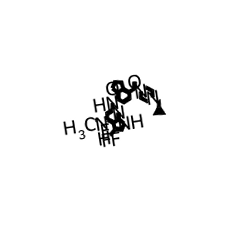 CCNc1cc(Nc2ccc(C(=O)N3CCN(CC4CC4)CC3)c3c2OCC3)nc2[nH]cc(C(F)(F)F)c12